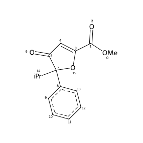 COC(=O)C1=CC(=O)C(c2ccccc2)(C(C)C)O1